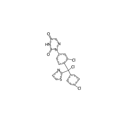 O=c1cnn(-c2ccc(C(Cl)(c3ccc(Cl)cc3)c3nccs3)c(Cl)c2)c(=O)[nH]1